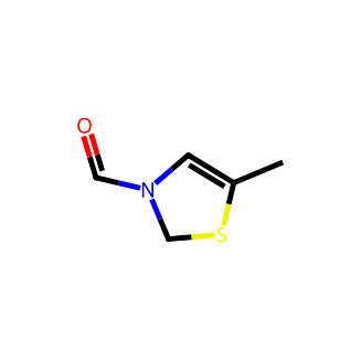 CC1=CN(C=O)CS1